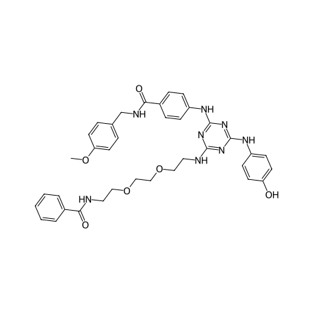 COc1ccc(CNC(=O)c2ccc(Nc3nc(NCCOCCOCCNC(=O)c4ccccc4)nc(Nc4ccc(O)cc4)n3)cc2)cc1